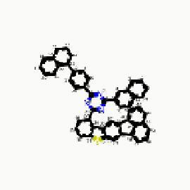 c1ccc2cc(-c3nc(-c4ccc(-c5cccc6ccccc56)cc4)nc(-c4cccc5sc6cc7c(cc6c45)-c4cccc5cccc-7c45)n3)ccc2c1